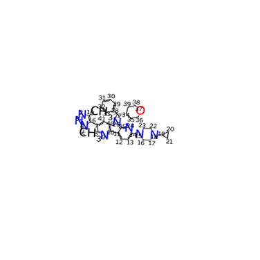 Cc1nnn(C)c1-c1cnc2c3ccc(N4CCN(C5CC5)CC4)nc3n([C@H](c3ccccc3)C3CCOCC3)c2c1